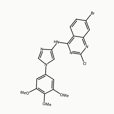 COc1cc(-n2cnc(Nc3nc(Cl)nc4cc(Br)ccc34)c2)cc(OC)c1OC